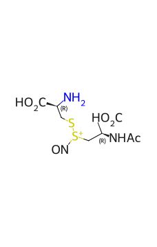 CC(=O)N[C@@H](C[S+](N=O)SC[C@H](N)C(=O)O)C(=O)O